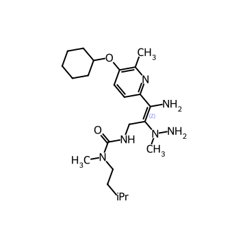 Cc1nc(/C(N)=C(\CNC(=O)N(C)CCC(C)C)N(C)N)ccc1OC1CCCCC1